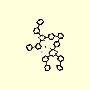 CC1=C(c2ccc(-c3ccccc3-c3ccc(-c4nc(-c5cccc(-c6ccccc6)c5)nc(-c5cccc(-c6ccccc6)c5)n4)cc3)cc2)N=C(c2cccc(-c3ccccc3)c2)N=C(c2cccc(-c3ccccc3)c2)[C@@H]1C